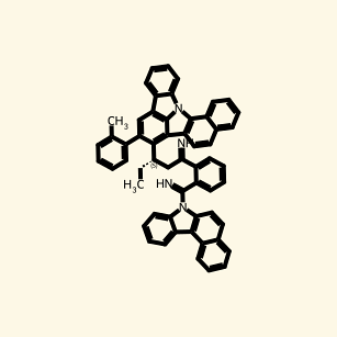 CC[C@@H](CC(=N)c1ccccc1C(=N)n1c2ccccc2c2c3ccccc3ccc21)c1c(-c2ccccc2C)cc2c3ccccc3n3c4c5ccccc5ccc4c1c23